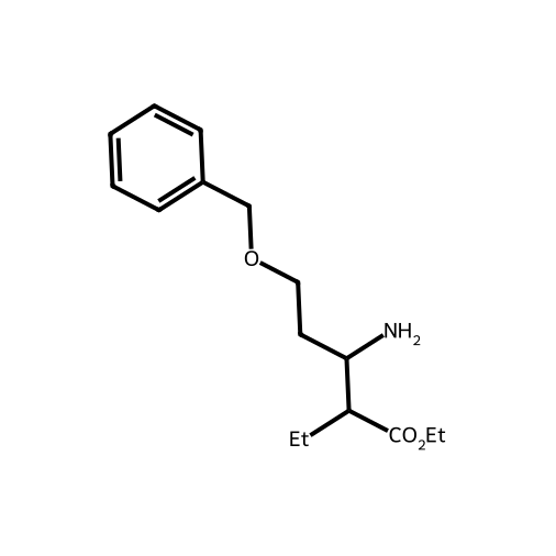 CCOC(=O)C(CC)C(N)CCOCc1ccccc1